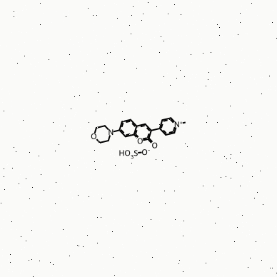 C[n+]1ccc(-c2cc3ccc(N4CCOCC4)cc3oc2=O)cc1.O=S(=O)([O-])O